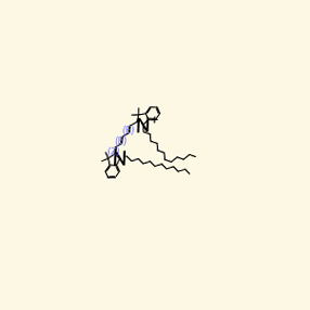 CCCCCCCCCCCCN1\C(=C/C=C/C=C/C2=[N+](CCCCCCCCCCCC)c3ccccc3C2(C)C)C(C)(C)c2ccccc21